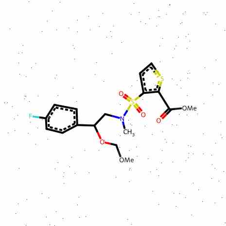 COCOC(CN(C)S(=O)(=O)c1ccsc1C(=O)OC)c1ccc(F)cc1